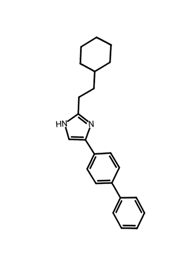 c1ccc(-c2ccc(-c3c[nH]c(CCC4CCCCC4)n3)cc2)cc1